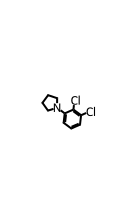 Clc1cccc(N2CCCC2)c1Cl